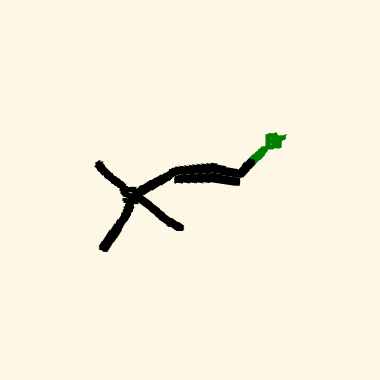 C[Si](C)(C)C=CBr